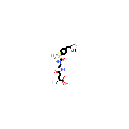 CC(C)Cc1ccc([SH](C)C(=O)NCCNC(=O)CC[C@H](C)C(=O)O)cc1